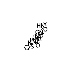 C[C@@H]1C(=O)N(c2nc3ccccc3s2)[C@H]2CCN(S(=O)(=O)N(C)CC(=O)NC(C)(C)C)[C@H]12